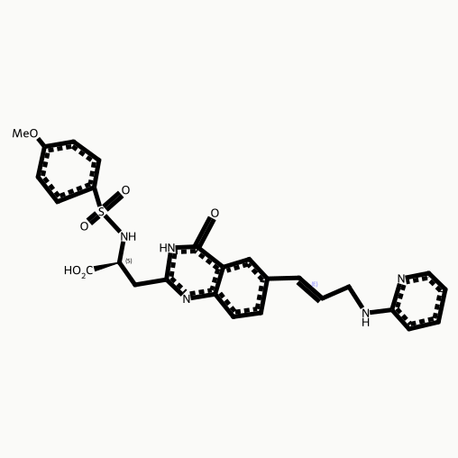 COc1ccc(S(=O)(=O)N[C@@H](Cc2nc3ccc(/C=C/CNc4ccccn4)cc3c(=O)[nH]2)C(=O)O)cc1